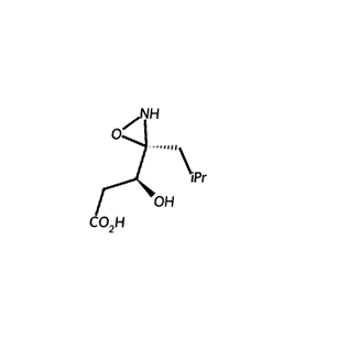 CC(C)C[C@@]1([C@@H](O)CC(=O)O)NO1